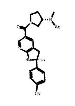 CC(=O)N(C)[C@H]1CCN(C(=O)c2cnc3c(c2)C[C@@](C)(c2ccc(C#N)cc2)N3)C1